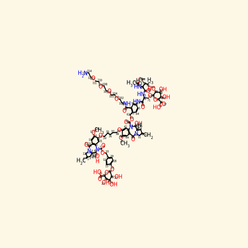 C=C1C[C@H]2[C@H](O)N(C(=O)OCc3ccc(O[C@@H]4O[C@H](C(=O)O)[C@@H](O)[C@H](O)[C@H]4O)cc3)c3cc(OCCCCCOc4cc5c(cc4OC)C(=O)N4CC(=C)C[C@H]4[C@H](O)N5C(=O)OCc4ccc(NC(=O)[C@H](CO[C@@H]5O[C@H](C(=O)O)[C@@H](O)[C@H](O)[C@H]5O)NC(=O)[C@@H](NC(C)=O)C(C)C)cc4C(=O)NCCOCCOCCOCCOCCN)c(OC)cc3C(=O)N2C1